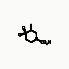 CC1CN(C(=O)O)CCS1(=O)=O